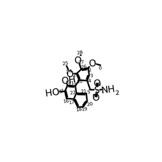 COc1cc(CS(N)(=O)=O)c(-c2c(O)c(O)cc3ccccc23)c(OC)c1OC